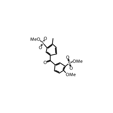 COc1ccc(C(=O)c2ccc(C)c(S(=O)(=O)OC)c2)cc1S(=O)(=O)OC